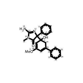 COC1=CC(O)(C2(c3ccccc3)N=C(N)N(C)C2=O)CC(c2ccccc2)=C1